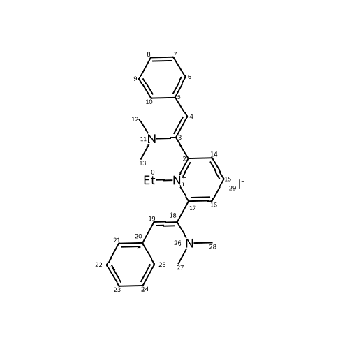 CC[n+]1c(C(=Cc2ccccc2)N(C)C)cccc1C(=Cc1ccccc1)N(C)C.[I-]